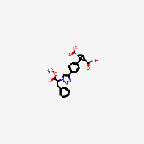 COC(=O)[C@H](Cc1ccccc1)n1cc(-c2ccc(C34C([C@H]3C(=O)O)[C@H]4C(=O)O)cc2)nn1